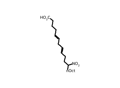 CCCCCCCCC(CC/C=C/C/C=C/CCCC(=O)O)[N+](=O)[O-]